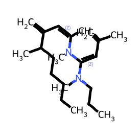 C=C(C)/C=C(/N(C)CCC)N(C)/C(C)=C\C(=C)C(C)CCCCC